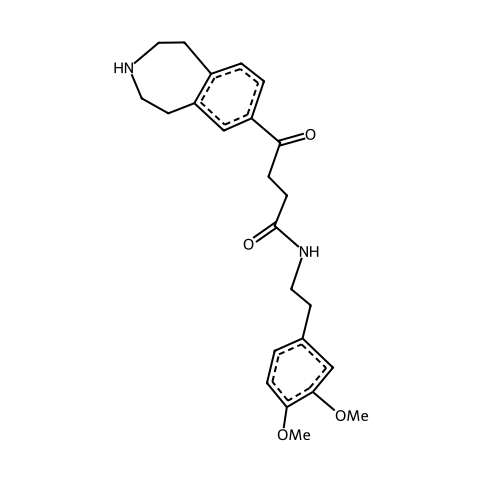 COc1ccc(CCNC(=O)CCC(=O)c2ccc3c(c2)CCNCC3)cc1OC